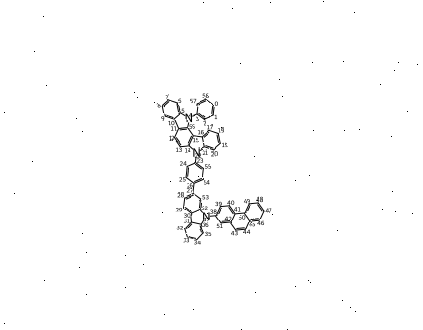 c1ccc(-n2c3ccccc3c3ccc4c(c5ccccc5n4-c4ccc(-c5ccc6c7ccccc7n(-c7ccc8c(ccc9ccccc98)c7)c6c5)cc4)c32)cc1